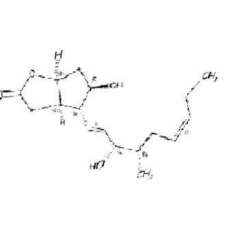 CC/C=C\C[C@H](C)[C@H](O)/C=C/[C@@H]1[C@H]2CC(=O)O[C@H]2C[C@H]1O